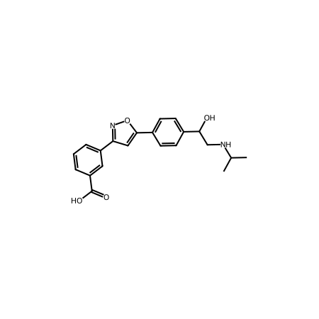 CC(C)NCC(O)c1ccc(-c2cc(-c3cccc(C(=O)O)c3)no2)cc1